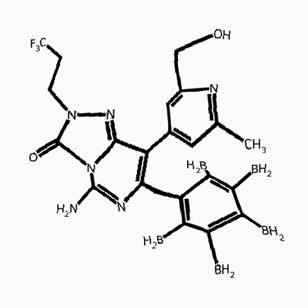 Bc1c(B)c(B)c(-c2nc(N)n3c(=O)n(CCC(F)(F)F)nc3c2-c2cc(C)nc(CO)c2)c(B)c1B